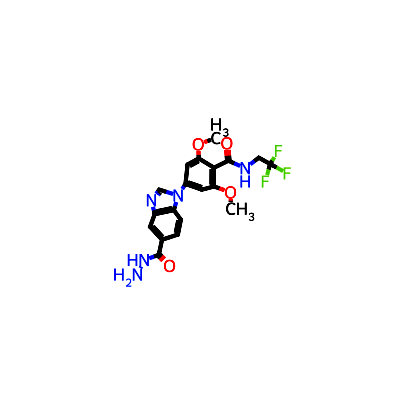 COc1cc(-n2cnc3cc(C(=O)NN)ccc32)cc(OC)c1C(=O)NCC(F)(F)F